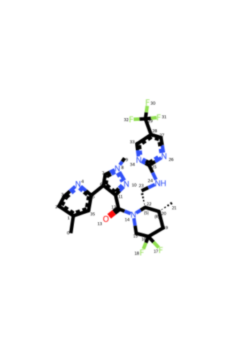 Cc1ccnc(-c2cn(C)nc2C(=O)N2CC(F)(F)C[C@@H](C)[C@H]2CNc2ncc(C(F)(F)F)cn2)c1